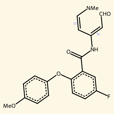 CN/C=C\C(=C/C=O)NC(=O)c1cc(F)ccc1Oc1ccc(OC)cc1